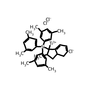 Cc1cc(C)cc([Si](c2cc(C)cc(C)c2)(c2cc(C)cc(C)c2)[C]2([Ti+3])C3=CC=CCC3CC2C)c1.[Cl-].[Cl-].[Cl-]